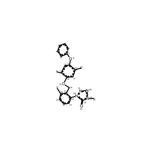 Cc1cc(Oc2ccccc2)c(C)cc1OCc1c(C)cccc1-n1nnn(C)c1=O